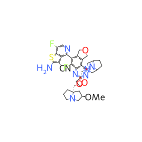 CO[C@H]1CN2CCC[C@@]2(COc2nc(N3C4CCC3CN(C[C@H]3CCO3)C4)c3c4c(c(-c5ncc(F)c6sc(N)c(C#N)c56)c(F)c3n2)COC4)C1